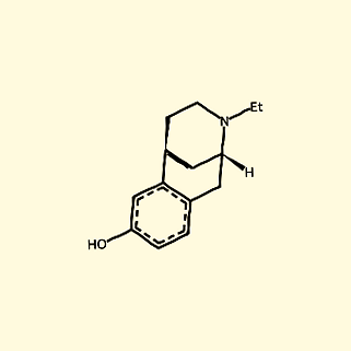 CCN1CC[C@]23CCCCC2[C@H]1Cc1ccc(O)cc13